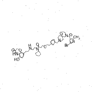 Cc1ncc(Br)cc1C(=O)N1CCOC2(CCN(Cc3cccc(CCOCCC(=O)N(CCNCCc4ccc(O)c5c4OCC(=O)N5)C4CCCCC4)c3)CC2)C1